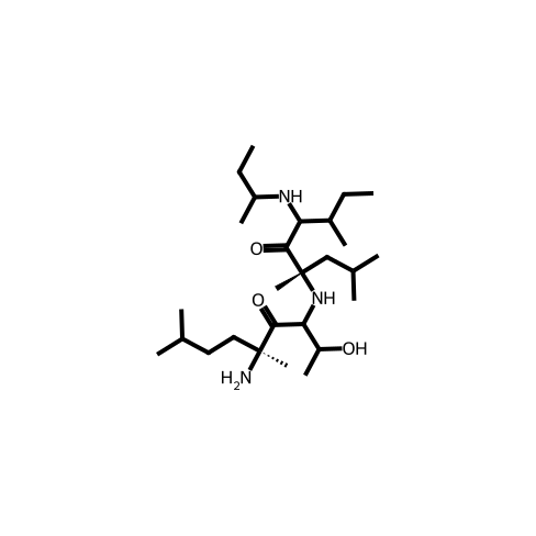 CCC(C)NC(C(=O)[C@](C)(CC(C)C)NC(C(=O)[C@@](C)(N)CCC(C)C)C(C)O)C(C)CC